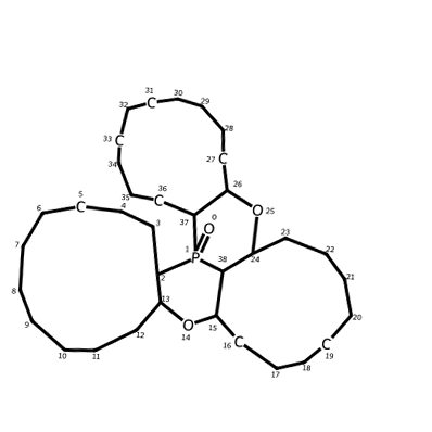 O=P12C3CCCCCCCCCCC3OC3CCCCCCCCC(OC4CCCCCCCCCCC41)C32